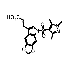 Cc1nn(C)c(C)c1S(=O)(=O)n1cc(CCC(=O)O)c2cc3c(cc21)OCO3